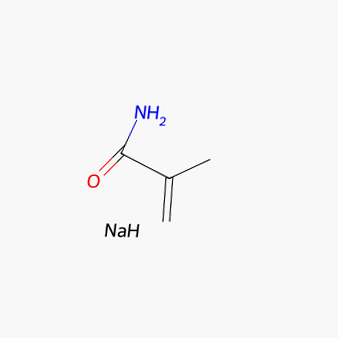 C=C(C)C(N)=O.[NaH]